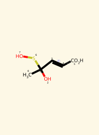 CC(O)(/C=C/C(=O)O)SO